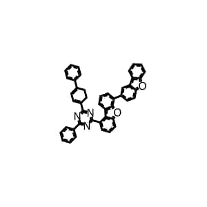 C1=C(c2ccccc2)CCC(c2nc(-c3ccccc3)nc(-c3cccc4oc5c(-c6ccc7oc8ccccc8c7c6)cccc5c34)n2)=C1